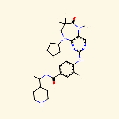 COc1cc(C(=O)NC(C)C2CCNCC2)ccc1Nc1ncc2c(n1)N(C1CCCC1)CC(C)(C)C(=O)N2C